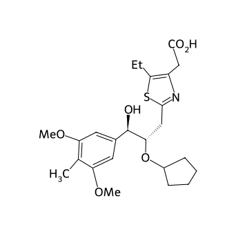 CCc1sc(C[C@H](OC2CCCC2)[C@H](O)c2cc(OC)c(C)c(OC)c2)nc1CC(=O)O